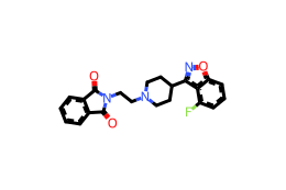 O=C1c2ccccc2C(=O)N1CCN1CCC(c2noc3cccc(F)c23)CC1